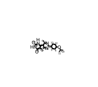 Cc1nc(-c2ccc(OC(C)C)cc2)nc2sc3c(=O)[nH]c(=O)[nH]c3c12